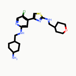 NC1CCC(CNc2cc(-c3csc(NCC4CCOCC4)n3)c(Cl)cn2)CC1